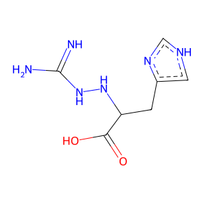 N=C(N)NNC(Cc1c[nH]cn1)C(=O)O